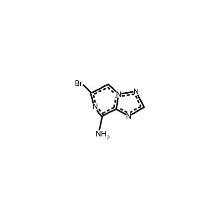 Nc1nc(Br)cn2ncnc12